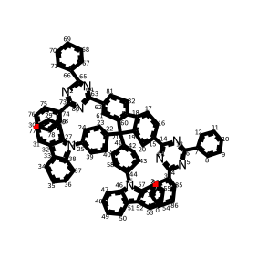 c1ccc(-c2nc(-c3ccccc3)nc(-c3ccc4c(c3)C(c3ccc(-n5c6ccccc6c6ccccc65)cc3)(c3ccc(-n5c6ccccc6c6ccccc65)cc3)c3cc(-c5nc(-c6ccccc6)nc(-c6ccccc6)n5)ccc3-4)n2)cc1